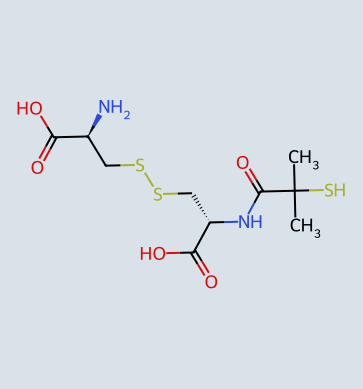 CC(C)(S)C(=O)N[C@@H](CSSC[C@H](N)C(=O)O)C(=O)O